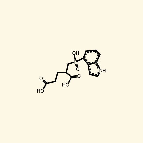 O=C(O)CCC(CP(=O)(O)c1cccc2[nH]ccc12)C(=O)O